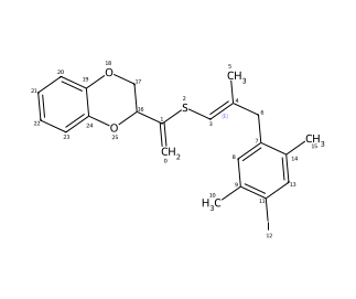 C=C(S/C=C(\C)Cc1cc(C)c(I)cc1C)C1COc2ccccc2O1